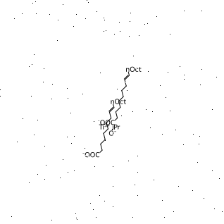 CC(C)[O-].CCCCCCCCC=CCCCCCCCC(=O)[O-].CCCCCCCCC=CCCCCCCCC(=O)[O-].[Ti+3]